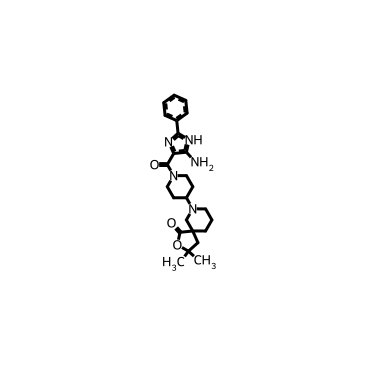 CC1(C)CC2(CCCN(C3CCN(C(=O)c4nc(-c5ccccc5)[nH]c4N)CC3)C2)C(=O)O1